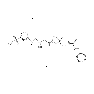 O=C(OCc1ccccc1)N1CCC2(CC1)C[C@@H](NC[C@H](O)COc1cccc(S(=O)(=O)C3CC3)c1)CO2